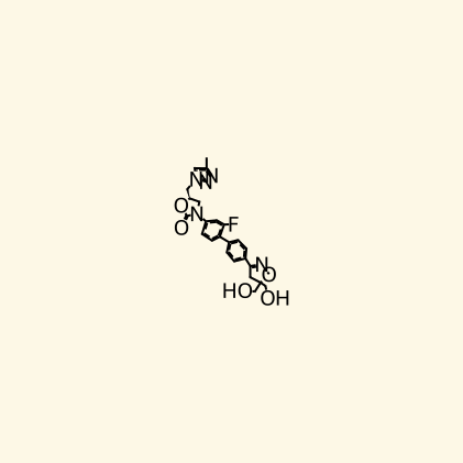 Cc1cn(C[C@H]2CN(c3ccc(-c4ccc(C5=NOC(CO)(CO)C5)cc4)c(F)c3)C(=O)O2)nn1